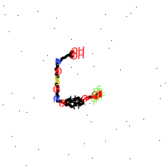 CN(CCCCC(CO)CO)CCCOCCSSCCOCCCN(C)CCOc1ccc2c(c1)CC[C@@H]1[C@@H]2CC[C@]2(C)[C@@H](OCCCOC(C(F)(F)F)(C(F)(F)F)C(F)(F)F)CC[C@@H]12